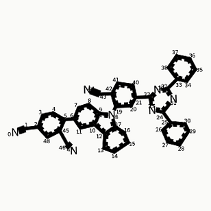 N#Cc1ccc(-c2ccc3c(c2)c2ccccc2n3-c2cc(-c3nc(-c4ccccc4)nc(-c4ccccc4)n3)ccc2C#N)c(C#N)c1